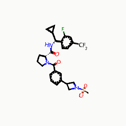 CS(=O)(=O)N1CC(c2cccc(C(=O)N3CCC[C@@H]3C(=O)N[C@@H](c3ccc(C(F)(F)F)cc3F)C3CC3)c2)C1